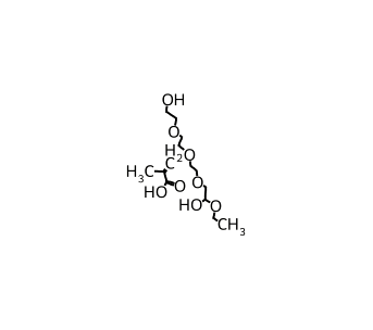 C=C(C)C(=O)O.CCOC(O)COCCOCCOCCO